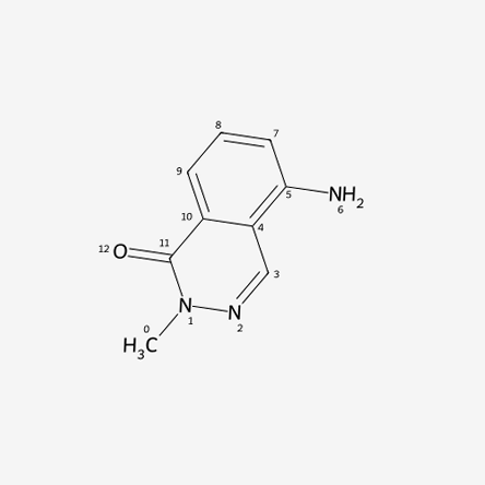 Cn1ncc2c(N)cccc2c1=O